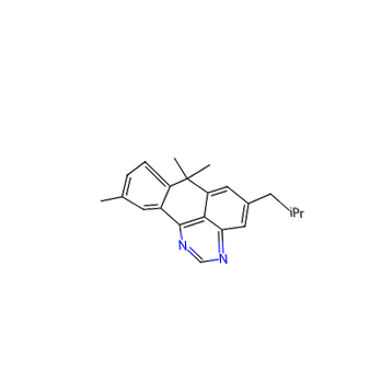 Cc1ccc2c(c1)-c1ncnc3cc(CC(C)C)cc(c13)C2(C)C